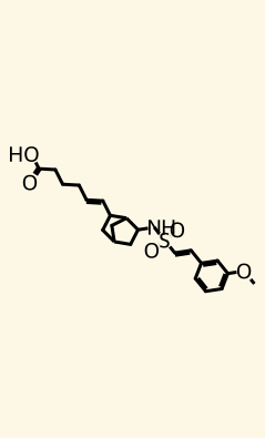 COc1cccc(/C=C/S(=O)(=O)NC2CC3CC(/C=C/CCCC(=O)O)C2C3)c1